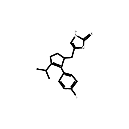 CC(C)C1=C(c2ccc(F)cc2)C(CC2=CNC(=S)[N]2)CC1